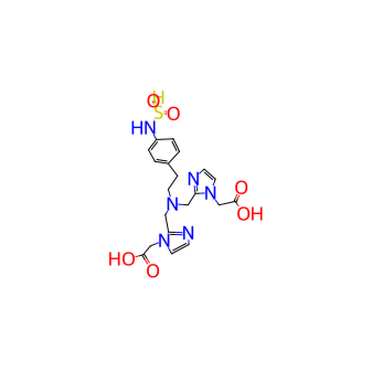 O=C(O)Cn1ccnc1CN(CCc1ccc(N[SH](=O)=O)cc1)Cc1nccn1CC(=O)O